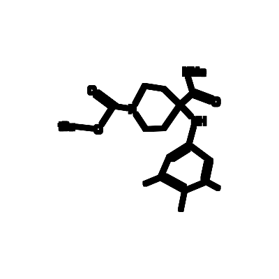 CNC(=O)C1(Nc2cc(C)c(C)c(C)c2)CCN(C(=O)OC(C)(C)C)CC1